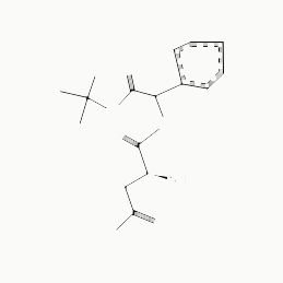 CC(C)(C)OC(=O)C(OC(=O)[C@@H](N)CC(=O)O)c1ccccc1